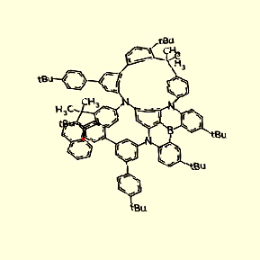 CC(C)(C)c1ccc(-c2cc3cc(c2)N(c2ccc4c(c2)C(C)(C)c2ccc5ccccc5c2-4)c2cc4c5c(c2)N(c2cc(-c6ccc(C(C)(C)C)cc6)cc(-c6ccc(C(C)(C)C)cc6)c2)c2ccc(C(C)(C)C)cc2B5c2cc(C(C)(C)C)ccc2N4c2ccc(cc2)C(C)(C)c2cc-3ccc2C(C)(C)C)cc1